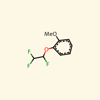 COc1ccccc1OC(F)C(F)F